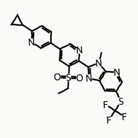 CCS(=O)(=O)c1cc(-c2ccc(C3CC3)nc2)cnc1-c1nc2cc(SC(F)(F)F)cnc2n1C